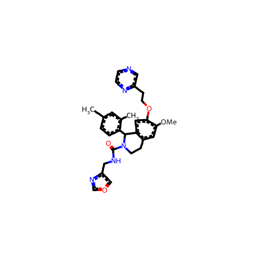 COc1cc2c(cc1OCCc1cnccn1)C(c1ccc(C)cc1C)N(C(=O)NCc1cocn1)CC2